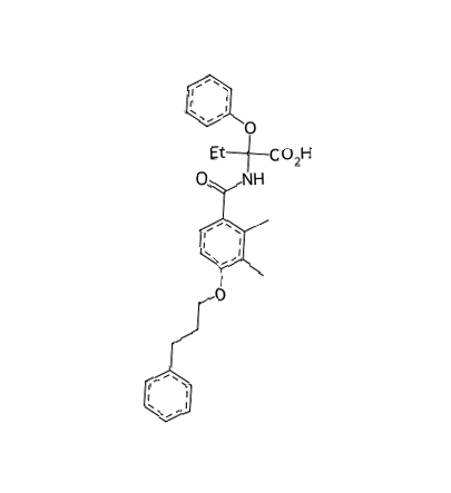 CCC(NC(=O)c1ccc(OCCCc2ccccc2)c(C)c1C)(Oc1ccccc1)C(=O)O